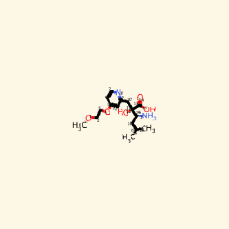 COCCOc1ccnc(C[C@](O)(C(=O)O)[C@@H](N)CC(C)C)c1